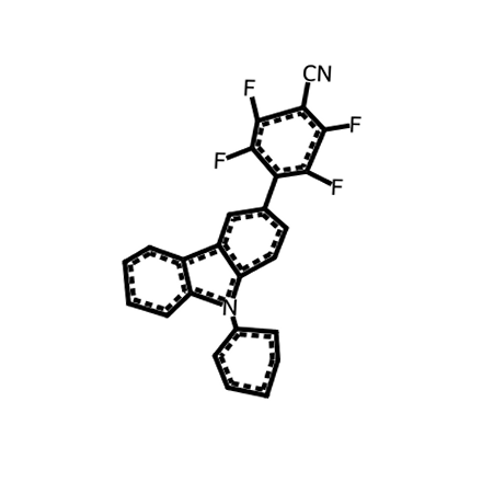 N#Cc1c(F)c(F)c(-c2ccc3c(c2)c2ccccc2n3-c2ccccc2)c(F)c1F